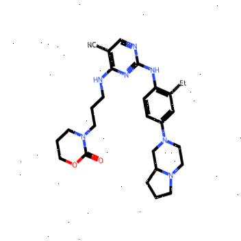 CCc1cc(N2CCN3CCCC3C2)ccc1Nc1ncc(C#N)c(NCCCN2CCCOC2=O)n1